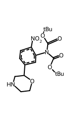 CC(C)(C)OC(=O)N(C(=O)OC(C)(C)C)c1cc(C2CNCCO2)ccc1[N+](=O)[O-]